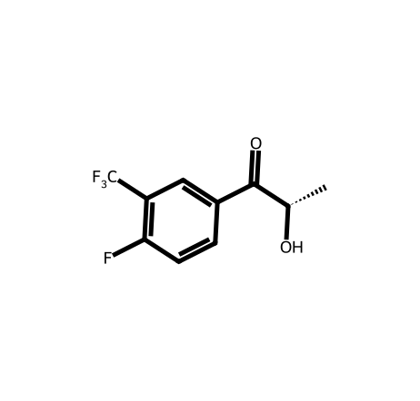 C[C@H](O)C(=O)c1ccc(F)c(C(F)(F)F)c1